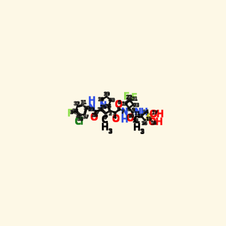 Cc1c(C(=O)C(=O)NC2(C(=O)NC3(C)CS(O)(O)C3)CC(F)(F)C2)c2n(c1C(=O)Nc1ccc(F)c(Cl)c1)CCC2